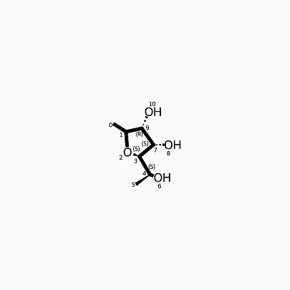 CC1O[C@@H]([C@H](C)O)[C@@H](O)[C@H]1O